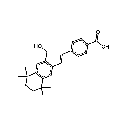 CC1(C)CCC(C)(C)c2cc(CO)c(/C=C/c3ccc(C(=O)O)cc3)cc21